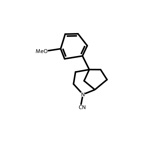 COc1cccc(C23CCC(C2)N(C#N)CC3)c1